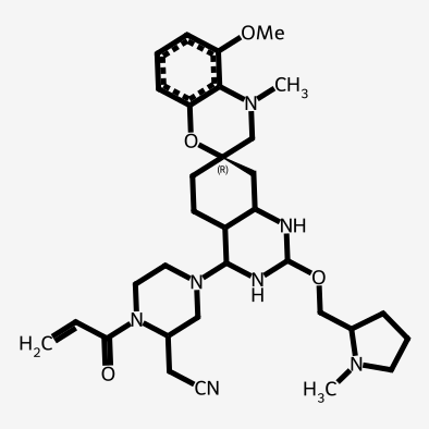 C=CC(=O)N1CCN(C2NC(OCC3CCCN3C)NC3C[C@]4(CCC32)CN(C)c2c(OC)cccc2O4)CC1CC#N